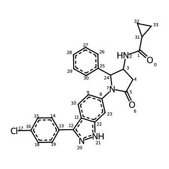 O=C(NC1CC(=O)N(c2ccc3c(-c4ccc(Cl)cc4)n[nH]c3c2)C1c1ccccc1)C1CC1